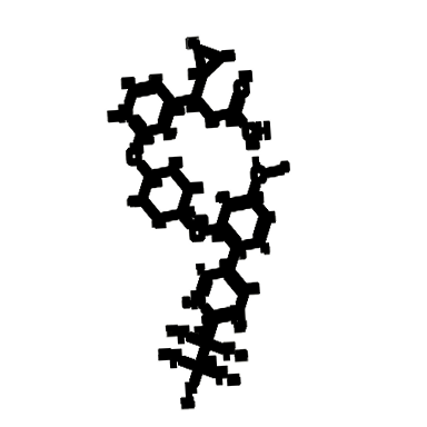 COc1ccc(-c2cnc(C(F)(F)C(F)(F)F)nc2)c(OC2CCC(Oc3cc(C(CC(=O)O)C4CC4)ccn3)CC2)c1